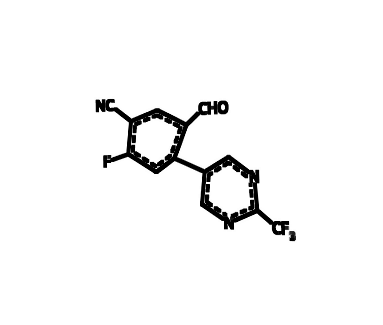 N#Cc1cc(C=O)c(-c2cnc(C(F)(F)F)nc2)cc1F